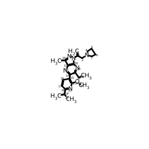 C=C(CN1CCCC1)n1nc(C)c2nc(-c3ccc(C(C)C)nc3OC)c(CC)nc21